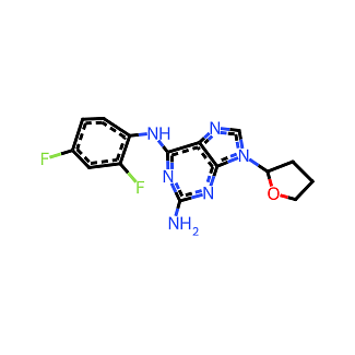 Nc1nc(Nc2ccc(F)cc2F)c2ncn(C3CCCO3)c2n1